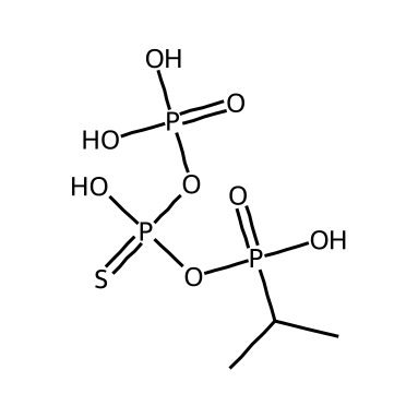 CC(C)P(=O)(O)OP(O)(=S)OP(=O)(O)O